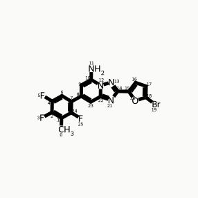 Cc1c(F)c(F)cc(-c2cc(N)n3nc(-c4ccc(Br)o4)nc3c2)c1F